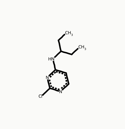 CCC(CC)Nc1ccnc(Cl)n1